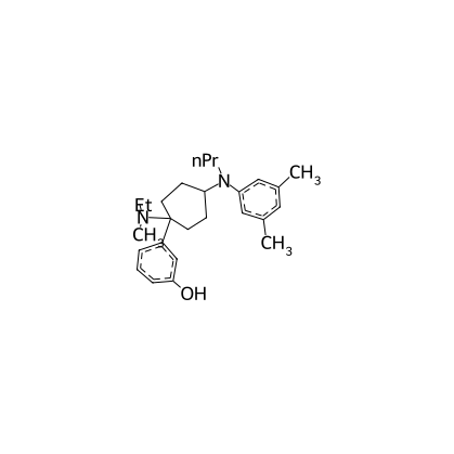 CCCN(c1cc(C)cc(C)c1)C1CCC(c2cccc(O)c2)(N(C)CC)CC1